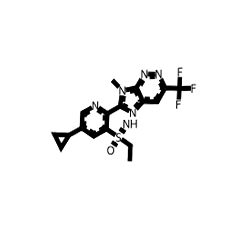 CCS(=N)(=O)c1cc(C2CC2)cnc1-c1nc2cc(C(F)(F)F)nnc2n1C